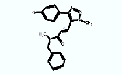 CN(Cc1ccccc1)C(=O)/C=C/c1c(-c2ccc(O)cc2)nnn1C